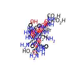 CC(C)[C@H](NC(=O)[C@H](CCCCN)NC(=O)[C@H](CC(=O)O)NC(=O)[C@H](Cc1ccc(O)cc1)NC(=O)[C@H](Cc1ccc(O)cc1)NC(=O)[C@H](C)NC(=O)[C@H](CCCCN)NC(=O)[C@H](Cc1ccccc1)NC(=O)[C@H](Cc1c[nH]c2ccccc12)NC(=O)[C@H](CC(=O)O)NC(=O)CN)C(=O)N[C@@H](C)C(=O)N[C@@H](CCC(=O)O)C(=O)NCC(=O)O